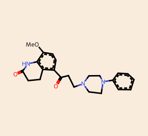 COc1ccc(C(=O)CCN2CCN(c3ccccc3)CC2)c2c1NC(=O)CC2